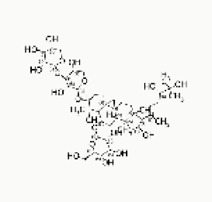 C[C@H](CC[C@H](O)C(C)(C)O)[C@H]1[C@@H](O)C[C@@]2(C)[C@@H]3C[C@H](O[C@@H]4O[C@H](CO)[C@@H](O)[C@H](O)[C@H]4O)C4C(C)(C)[C@@H](O[C@@H]5OC[C@@H](O)[C@H](O[C@@H]6OC[C@@H](O)[C@H](O)[C@H]6O)[C@H]5O)CC[C@@]45C[C@@]35CC[C@]12C